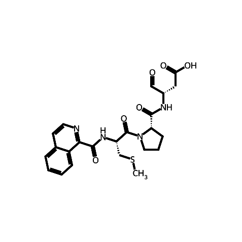 CSC[C@H](NC(=O)c1nccc2ccccc12)C(=O)N1CCC[C@H]1C(=O)N[C@H](C=O)CC(=O)O